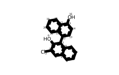 Oc1c(Cl)cc2ccccc2c1-c1ccc(O)c2ccccc12